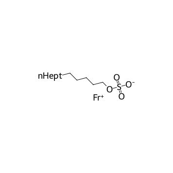 CCCCCCCCCCCCOS(=O)(=O)[O-].[Fr+]